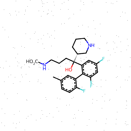 Cc1ccc(F)c(-c2c(F)cc(F)cc2C(O)(CCCNC(=O)O)[C@@H]2CCCNC2)c1